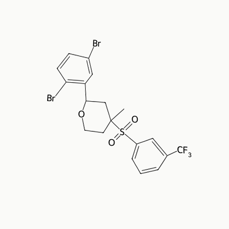 CC1(S(=O)(=O)c2cccc(C(F)(F)F)c2)CCOC(c2cc(Br)ccc2Br)C1